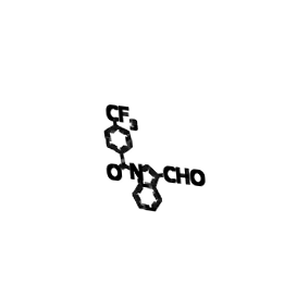 O=Cc1cn(C(=O)c2ccc(C(F)(F)F)cc2)c2ccccc12